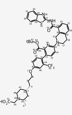 C[C@H]1C[C@@H](CCCOc2ccc(-c3ccc(N4CCc5cccc(C(=O)Nc6nc7ccccc7s6)c5C4)nc3C(=O)OC(C)(C)C)c(C(F)(F)F)c2)CCN1CC(=O)O